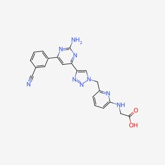 N#Cc1cccc(-c2cc(-c3cn(Cc4cccc(NCC(=O)O)n4)nn3)nc(N)n2)c1